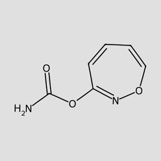 NC(=O)OC1=NOC=CC=C1